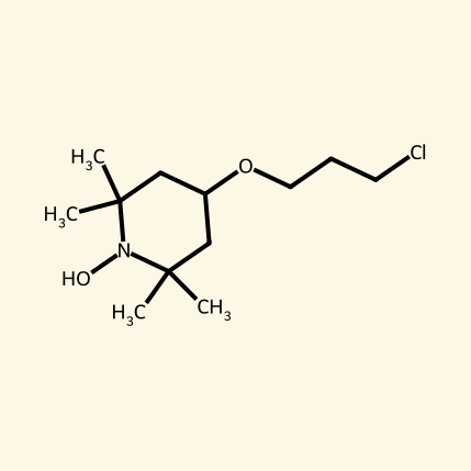 CC1(C)CC(OCCCCl)CC(C)(C)N1O